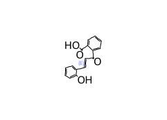 O=C(O)c1ccccc1C(=O)/C=C/c1ccccc1O